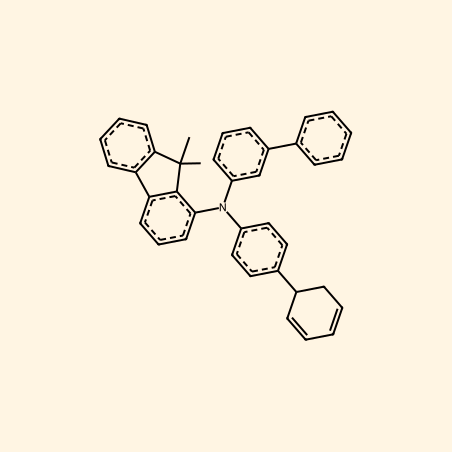 CC1(C)c2ccccc2-c2cccc(N(c3ccc(C4C=CC=CC4)cc3)c3cccc(-c4ccccc4)c3)c21